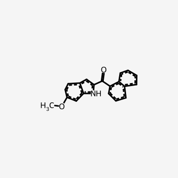 COc1ccc2cc(C(=O)c3cccc4ccccc34)[nH]c2c1